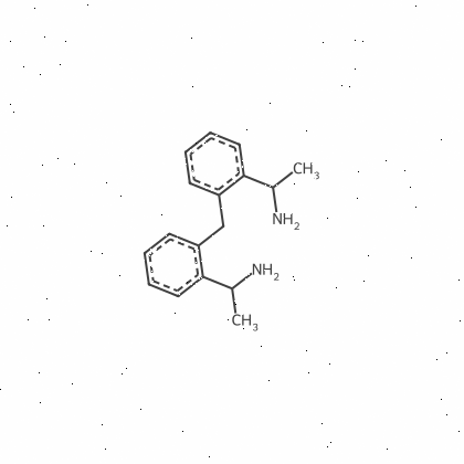 CC(N)c1ccccc1Cc1ccccc1C(C)N